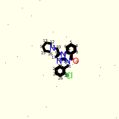 O=c1c2ccccc2n2c(CN3CCCCC3)cnc2n1Cc1ccccc1Cl